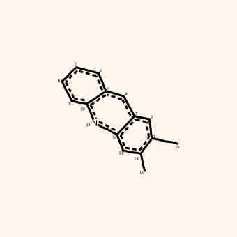 Cc1cc2cc3ccccc3nc2cc1C